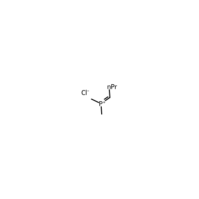 CCCC=[P+](C)C.[Cl-]